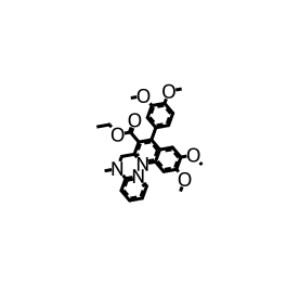 CCOC(=O)c1c(CN(C)c2ccccn2)nc2cc(OC)c(OC)cc2c1-c1ccc(OC)c(OC)c1